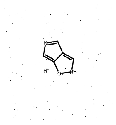 [H+].c1ncc2o[nH]cc1-2